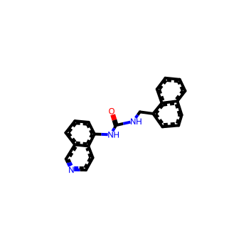 O=C(NCc1cccc2ccccc12)Nc1cccc2cnccc12